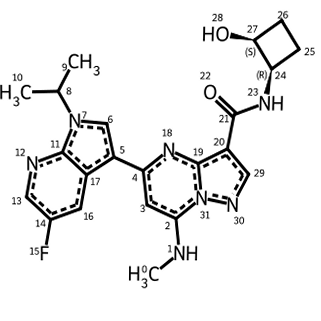 CNc1cc(-c2cn(C(C)C)c3ncc(F)cc23)nc2c(C(=O)N[C@@H]3CC[C@@H]3O)cnn12